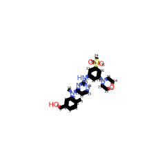 Cc1ccc(CO)cc1N(C)c1ccnc(Nc2cc(N3CCOCC3)cc(S(C)(=O)=O)c2)n1